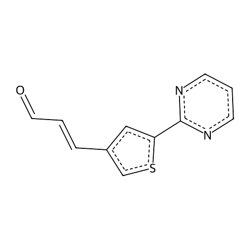 O=CC=Cc1csc(-c2ncccn2)c1